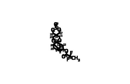 CC(F)(F)C(=O)OC12CC3CC(C1)C1(OCC4(COS(=O)OC4)CO1)C(C3)C2